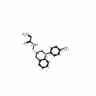 C=CC(=O)NC[C@H]1Cc2ccccc2N(c2ccc(C(F)(F)F)cc2)C1